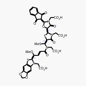 CO/C(C=CC(=O)N(CC(=O)O)/C(SC)=c1/s/c(=c2\oc(=C3C(=O)c4ccccc4C3=O)n(CC(=O)O)c2=O)n(CC(=O)O)c1=O)=C1\Sc2cc3c(cc2N1CC(=O)O)OCO3